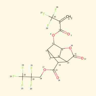 C=C(C(=O)OC1C2CC3C1OC(=O)C3C2C(=O)OCC(F)(F)C(F)(F)F)C(F)(F)F